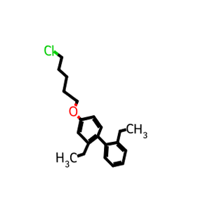 CCc1ccccc1-c1ccc(OCCCCCCl)cc1CC